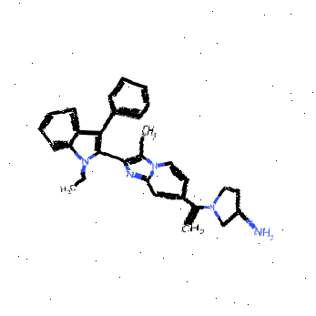 C=C(c1ccn2c(C)c(-c3c(-c4ccccc4)c4ccccc4n3CC)nc2c1)N1CCC(N)C1